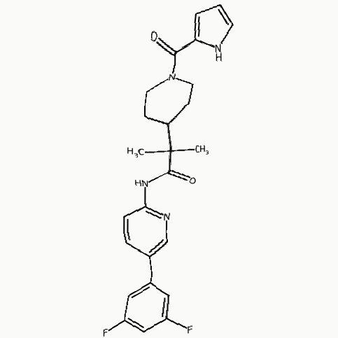 CC(C)(C(=O)Nc1ccc(-c2cc(F)cc(F)c2)cn1)C1CCN(C(=O)c2ccc[nH]2)CC1